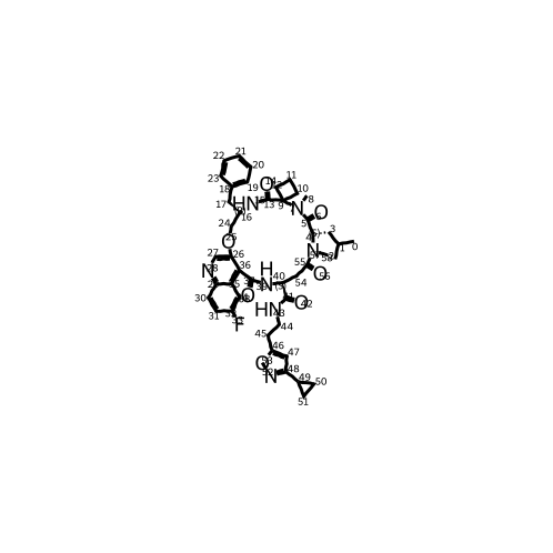 CC(C)C[C@H]1C(=O)N(C)C2(CCC2)C(=O)N[C@H](Cc2ccccc2)COc2cnc3ccc(F)cc3c2C(=O)N[C@H](C(=O)NCCc2cc(C3CC3)no2)CC(=O)N1C